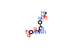 COc1ccc(NC(=O)c2c[nH]c3ncc(-c4ccc5nc(NC(=O)C6CC6)sc5c4)cc23)cc1OC